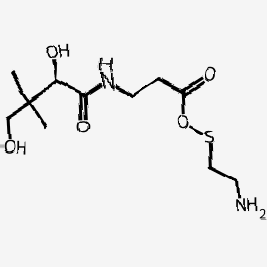 CC(C)(CO)[C@@H](O)C(=O)NCCC(=O)OSCCN